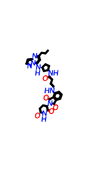 CCCc1cc(N[C@@H]2CCC(NC(=O)CCCNc3cccc4c3C(=O)N(C3CCC(=O)NC3=O)C4=O)C2)n2nccc2n1